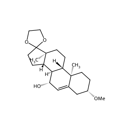 CO[C@H]1CC[C@@]2(C)C(=C[C@H](O)[C@@H]3[C@@H]2CC[C@@]2(C)[C@H]3CCC23OCCO3)C1